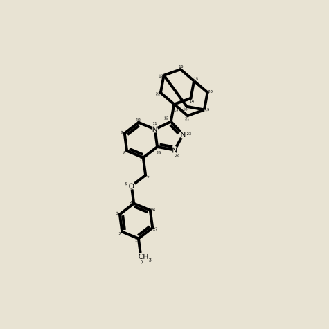 Cc1ccc(OCc2cccn3c(C45CC6CC(CC(C6)C4)C5)nnc23)cc1